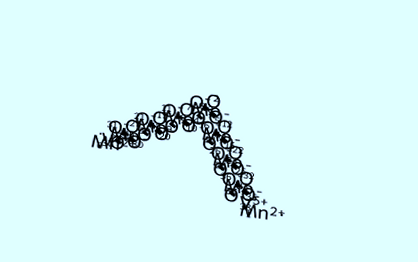 [Mn+2].[Mn+2].[O]=[Mo](=[O])([O-])[O-].[O]=[Mo](=[O])([O-])[O-].[O]=[Mo](=[O])([O-])[O-].[O]=[Mo](=[O])([O-])[O-].[O]=[Mo](=[O])([O-])[O-].[O]=[Mo](=[O])([O-])[O-].[O]=[Mo](=[O])([O-])[O-].[V+5].[V+5]